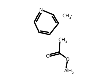 CC(=O)[O][AlH2].[CH3].c1ccncc1